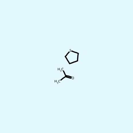 C1CCSC1.CC(C)=O